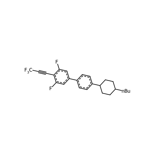 CCCCC1CCC(c2ccc(-c3cc(F)c(C#CC(F)(F)F)c(F)c3)cc2)CC1